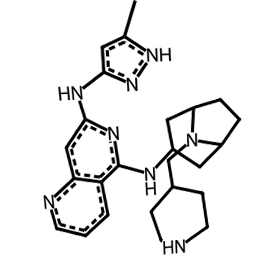 Cc1cc(Nc2cc3ncccc3c(NC3CC4CCC(C3)N4CC3CCNCC3)n2)n[nH]1